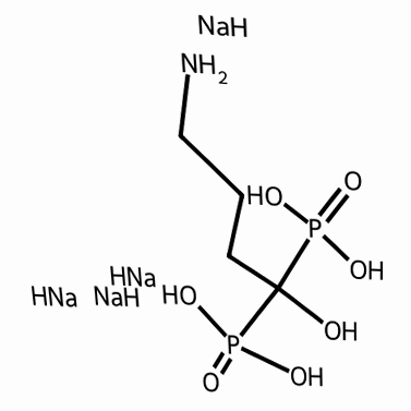 NCCCC(O)(P(=O)(O)O)P(=O)(O)O.[NaH].[NaH].[NaH].[NaH]